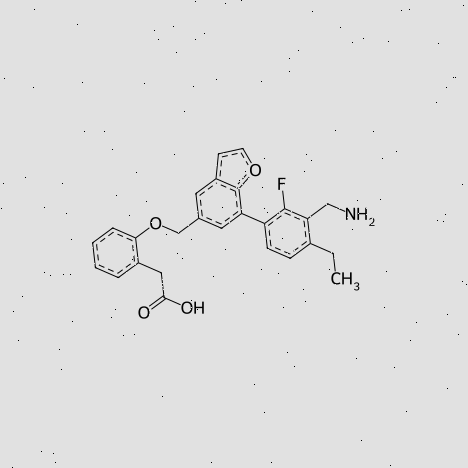 CCc1ccc(-c2cc(COc3ccccc3CC(=O)O)cc3ccoc23)c(F)c1CN